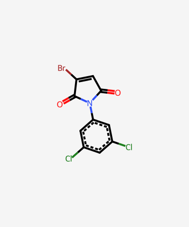 O=C1C=C(Br)C(=O)N1c1cc(Cl)cc(Cl)c1